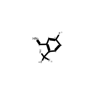 N=Cc1cc(F)ccc1C(F)(F)F